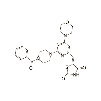 O=C1NC(=O)C(=Cc2cc(N3CCOCC3)nc(N3CCN(C(=O)c4ccccc4)CC3)n2)S1